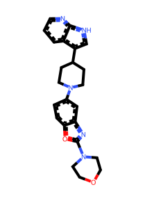 c1cnc2[nH]cc(C3CCN(c4ccc5oc(N6CCOCC6)nc5c4)CC3)c2c1